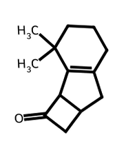 CC1(C)CCCC2=C1C1C(=O)CC1C2